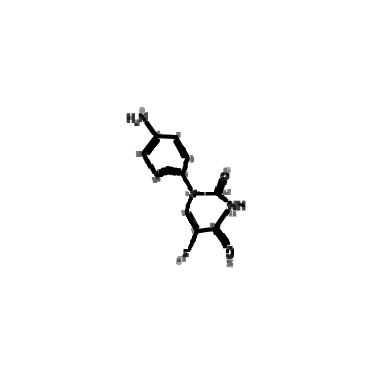 Nc1ccc(-n2cc(F)c(=O)[nH]c2=O)cc1